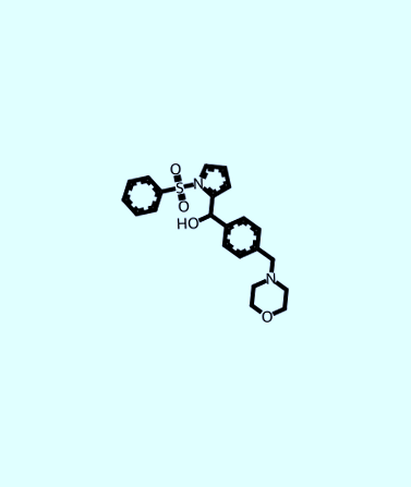 O=S(=O)(c1ccccc1)n1cccc1C(O)c1ccc(CN2CCOCC2)cc1